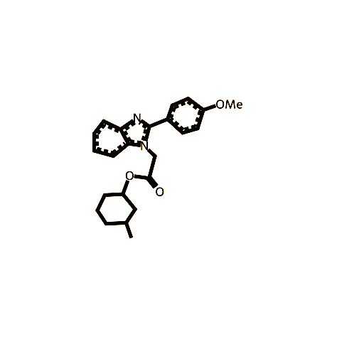 COc1ccc(-c2nc3ccccc3n2CC(=O)OC2CCCC(C)C2)cc1